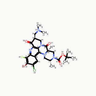 C[C@@H]1CN2c3c4c(nc5c(F)c(Br)c(Cl)cc35)C(=O)[C@@H](CN(C)C)CN4C(=O)[C@H]2CN1C(=O)OC(C)(C)C